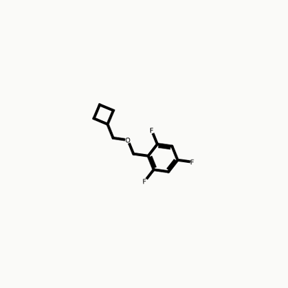 Fc1cc(F)c(COCC2CCC2)c(F)c1